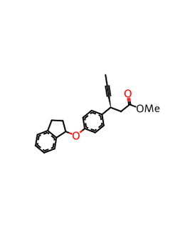 CC#C[C@@H](CC(=O)OC)c1ccc(OC2CCc3ccccc32)cc1